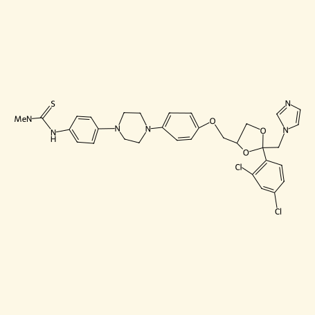 CNC(=S)Nc1ccc(N2CCN(c3ccc(OCC4COC(Cn5ccnc5)(c5ccc(Cl)cc5Cl)O4)cc3)CC2)cc1